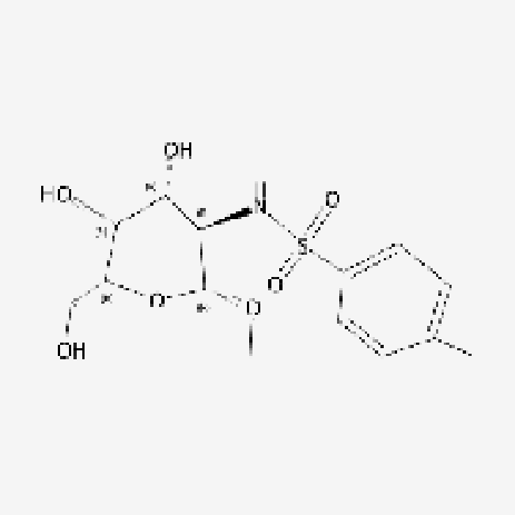 CO[C@@H]1O[C@H](CO)[C@H](O)[C@H](O)[C@H]1NS(=O)(=O)c1ccc(C)cc1